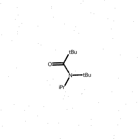 CC(C)N(C(=O)C(C)(C)C)C(C)(C)C